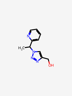 CC(c1ccccn1)n1cc(CO)nn1